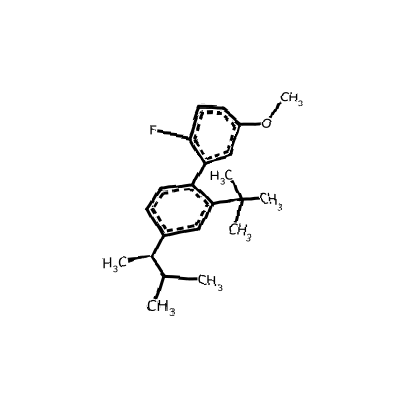 COc1ccc(F)c(-c2ccc([C@H](C)C(C)C)cc2C(C)(C)C)c1